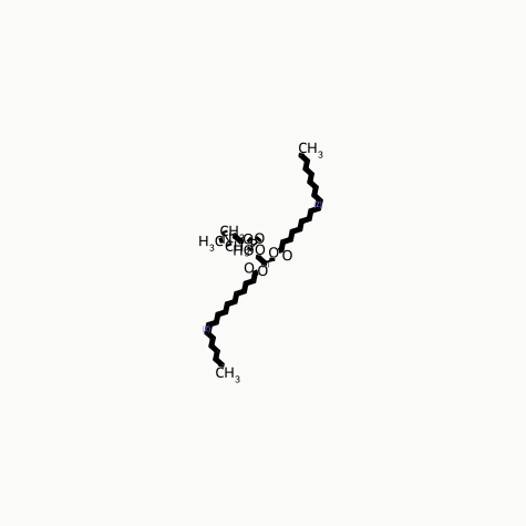 CCCCCC/C=C\CCCCCCCCCC(=O)O[C@H](COC(=O)CCCCCCC/C=C\CCCCCCCC)COP(=O)(O)OCC[N+](C)(C)C